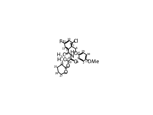 COc1ccc(OCc2c(Cl)cc(F)cc2[C@H](C)NC(=O)[C@H](C)OC2CCCCO2)cc1